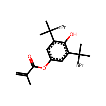 C=C(C)C(=O)Oc1cc(C(C)(C)CCC)c(O)c(C(C)(C)CCC)c1